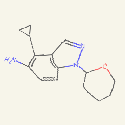 Nc1ccc2c(cnn2C2CCCCO2)c1C1CC1